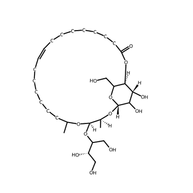 CC1CCCCCC/C=C\CCCCCCCC(=O)O[C@@H]2C(CO)O[C@@H](O[C@@H](C)[C@@H](OC(CO)[C@@H](O)CO)O1)C(O)[C@H]2O